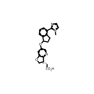 Cn1ccnc1-c1cccc2c1CCC2Oc1cnc2c(c1)OC[C@H]2CC(=O)O